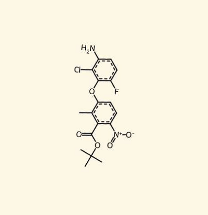 Cc1c(Oc2c(F)ccc(N)c2Cl)ccc([N+](=O)[O-])c1C(=O)OC(C)(C)C